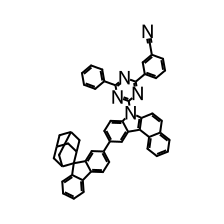 N#Cc1cccc(-c2nc(-c3ccccc3)nc(-n3c4ccc(-c5ccc6c(c5)C5(c7ccccc7-6)C6CC7CC(C6)CC5C7)cc4c4c5ccccc5ccc43)n2)c1